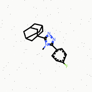 Cn1c(-c2ccc(F)cc2)nnc1C12CC3CC(CC(C3)C1)C2